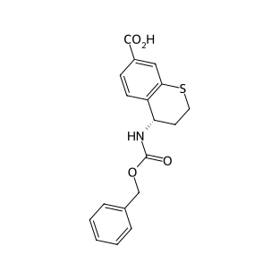 O=C(N[C@H]1CCSc2cc(C(=O)O)ccc21)OCc1ccccc1